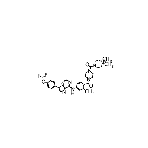 Cc1cc(Nc2nccn3c(-c4ccc(OC(F)F)cc4)cnc23)ccc1C(=O)N1CCN(C(=O)N2CC[N+](C)(C)CC2)CC1